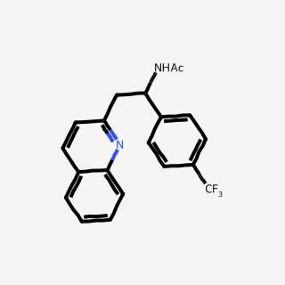 CC(=O)NC(Cc1ccc2ccccc2n1)c1ccc(C(F)(F)F)cc1